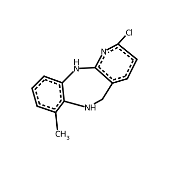 Cc1cccc2c1NCc1ccc(Cl)nc1N2